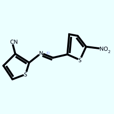 N#Cc1ccsc1/N=C/c1ccc([N+](=O)[O-])s1